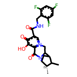 CC1C2CC([C@H]1C)N1C(=O)c3c(O)c(=O)c(C(=O)NCc4c(F)cc(F)cc4F)cn3CC21